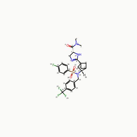 CN(C)C(=O)[C@H]1CN=C(C23CC(C2)[C@H](N(Cc2ccc(C(F)(F)F)cc2)S(=O)(=O)c2ccc(F)cc2)C3)N1